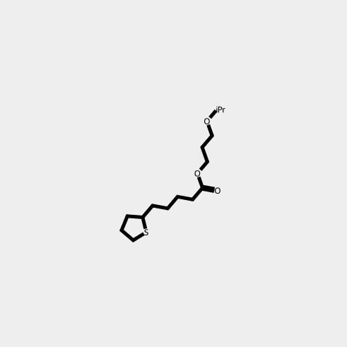 CC(C)OCCCOC(=O)CCCCC1CCCS1